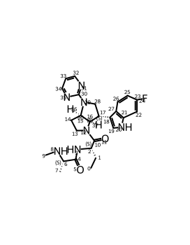 CC[C@H](NC(=O)[C@H](C)NC)C(=O)N1CC[C@@H]2[C@H]1[C@@H](c1c[nH]c3cc(F)ccc13)CN2c1ncccn1